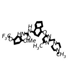 COc1ccc(OC(F)(F)F)cc1NC(=O)Nc1ccc(Oc2cc(C)nc(CN3CCN(C)CC3)n2)c2ccccc12